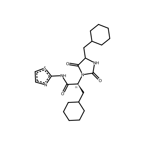 O=C(Nc1nccs1)[C@H](CC1CCCCC1)N1C(=O)NC(CC2CCCCC2)C1=O